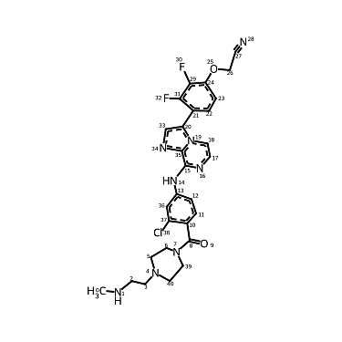 CNCCN1CCN(C(=O)c2ccc(Nc3nccn4c(-c5ccc(OCC#N)c(F)c5F)cnc34)cc2Cl)CC1